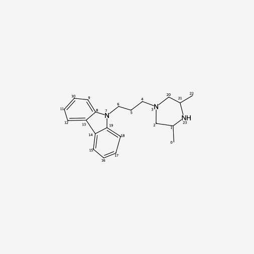 CC1CN(CCCn2c3ccccc3c3ccccc32)CC(C)N1